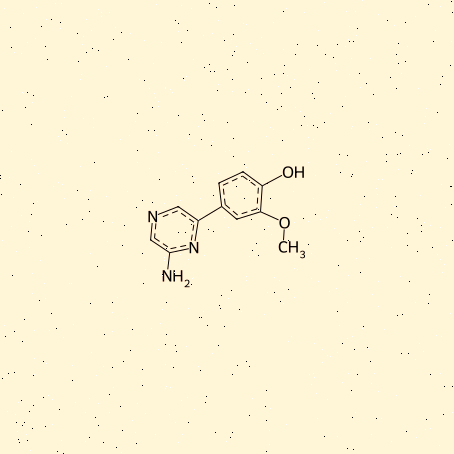 COc1cc(-c2cncc(N)n2)ccc1O